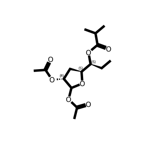 CC[C@H](OC(=O)C(C)C)[C@@H]1C[C@@H](OC(C)=O)C(OC(C)=O)O1